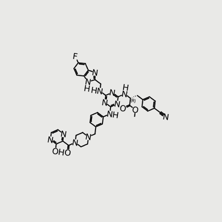 COC(=O)[C@@H](Cc1ccc(C#N)cc1)Nc1nc(NCc2nc3cc(F)ccc3[nH]2)nc(Nc2cccc(CN3CCN(C(=O)c4nccnc4O)CC3)c2)n1